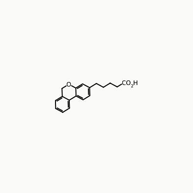 O=C(O)CCCCc1ccc2c(c1)OCc1ccccc1-2